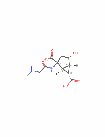 O=C(CNCl)N[C@@]1(C(=O)O)C[C@H](O)[C@H]2[C@H](C(=O)O)[C@H]21